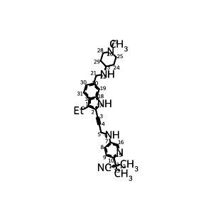 CCc1c(C#CCNc2ccc(C(C)(C)C#N)nc2)[nH]c2cc(CNC3CCN(C)CC3)ccc12